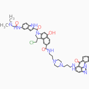 CN(C)CC(=O)Nc1ccc2[nH]c(C(=O)N3CC(CCl)c4c3cc(O)c3ccc(C(=O)NCCCN5CCN(CCCNc6ccc7ncn8c9ccccc9c(=O)c6c78)CC5)cc43)cc2c1